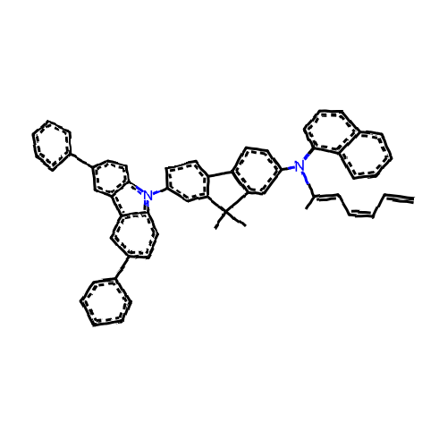 C=C/C=C\C=C(/C)N(c1ccc2c(c1)C(C)(C)c1cc(-n3c4ccc(-c5ccccc5)cc4c4cc(-c5ccccc5)ccc43)ccc1-2)c1cccc2ccccc12